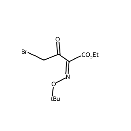 CCOC(=O)C(=NOC(C)(C)C)C(=O)CBr